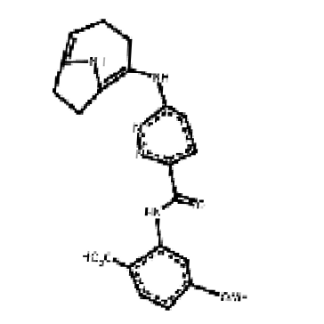 COc1ccc(C(=O)O)c(NC(=O)c2ccc(NC3=C4CCC(=CCC3)N4)nn2)c1